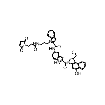 O=C(CCN1C(=O)C=CC1=O)NCCCn1c(C(=O)Nc2ccc3[nH]c(C(=O)N4CC(CCl)c5c4cc(O)c4ccccc54)cc3c2)cc2ccccc21